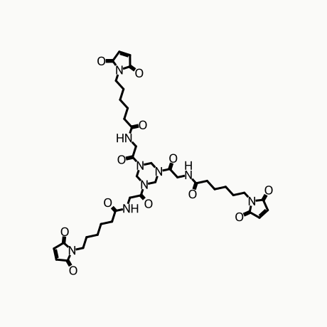 O=C(CCCCCN1C(=O)C=CC1=O)NCC(=O)N1CN(C(=O)CNC(=O)CCCCCN2C(=O)C=CC2=O)CN(C(=O)CNC(=O)CCCCCN2C(=O)C=CC2=O)C1